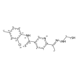 CC(=NNCS)c1ccc(C(=S)Nc2ccc(C)cc2Cl)cn1